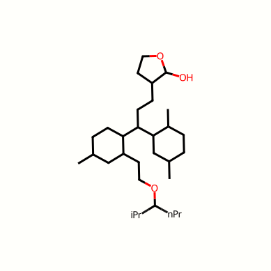 CCCC(OCCC1CC(C)CCC1C(CCC1CCOC1O)C1CC(C)CCC1C)C(C)C